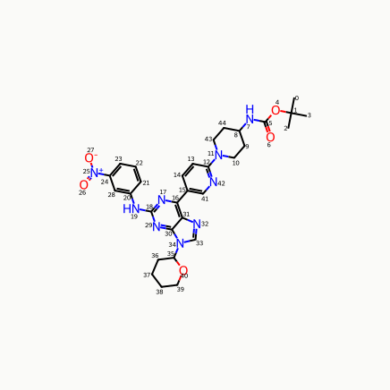 CC(C)(C)OC(=O)NC1CCN(c2ccc(-c3nc(Nc4cccc([N+](=O)[O-])c4)nc4c3ncn4C3CCCCO3)cn2)CC1